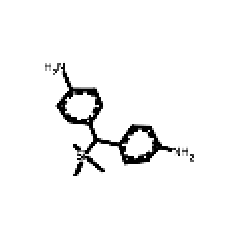 C[Si](C)(C)C(c1ccc(N)cc1)c1ccc(N)cc1